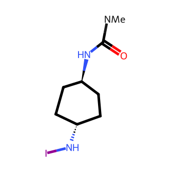 CNC(=O)N[C@H]1CC[C@H](NI)CC1